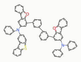 c1ccc(N(c2ccccc2)c2cc(-c3cccc(-c4cccc(-c5cc(N(c6ccccc6)c6ccc7sc8ccccc8c7c6)cc6c5oc5ccccc56)c4)c3)c3oc4ccccc4c3c2)cc1